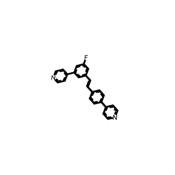 Fc1cc(C=Cc2ccc(-c3ccncc3)cc2)cc(-c2ccncc2)c1